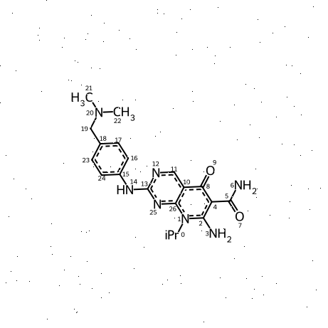 CC(C)n1c(N)c(C(N)=O)c(=O)c2cnc(Nc3ccc(CN(C)C)cc3)nc21